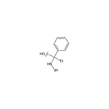 CCC(NC(C)C)(C(=O)O)c1ccccc1